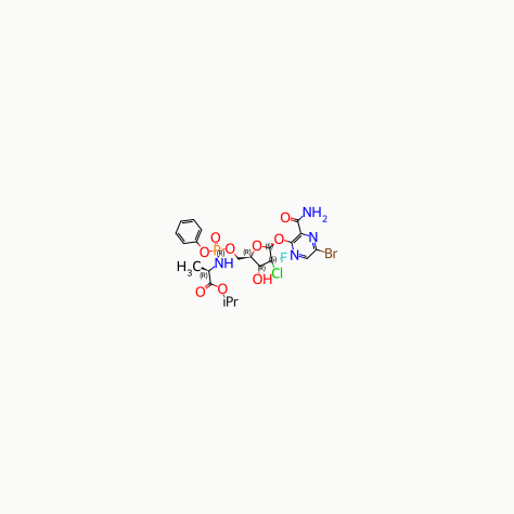 CC(C)OC(=O)[C@@H](C)N[P@@](=O)(OC[C@H]1O[C@@H](Oc2ncc(Br)nc2C(N)=O)[C@@](F)(Cl)[C@@H]1O)Oc1ccccc1